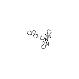 c1ccc2c(c1)nc1n2c2cc(-c3ccc4c(c3)oc3ccccc34)cc3c2n1c1nc2ccccc2n31